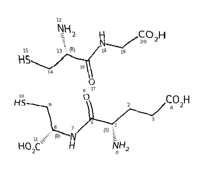 N[C@@H](CCC(=O)O)C(=O)N[C@@H](CS)C(=O)O.N[C@@H](CS)C(=O)NCC(=O)O